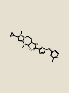 Cc1cc(Cn2cnc(C(=O)NC3CCN4C(=CC(C5CC5)N4C)N(C)C3O)n2)ccn1